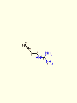 C#CCCNC(N)N